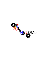 COc1ccccc1OC1CCN(CCCCN2C(=O)C3CC=CC=C3S2(=O)=O)C1